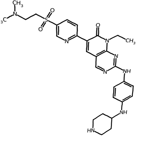 CCn1c(=O)c(-c2ccc(S(=O)(=O)CCN(C)C)cn2)cc2cnc(Nc3ccc(NC4CCNCC4)cc3)nc21